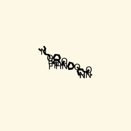 CCN(CC)CCOc1cccc(NC(=O)Nc2ccc(Oc3ccnc(C(=O)NC)c3)cc2)c1C(F)(F)F